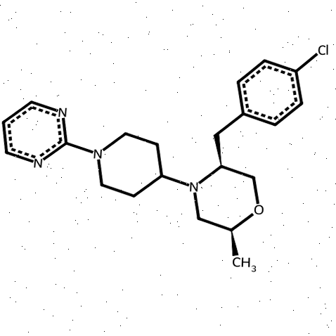 C[C@H]1CN(C2CCN(c3ncccn3)CC2)[C@@H](Cc2ccc(Cl)cc2)CO1